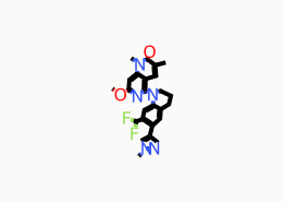 COc1cc2c(cc(C)c(=O)n2C)c(N2CCCc3cc(-c4cnn(C)c4)c(C(F)F)cc32)n1